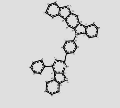 c1ccc(-c2nc(-c3ccc(-n4c5ccccc5c5cc6oc7ccccc7c6cc54)cc3)nc3oc4ccccc4c23)cc1